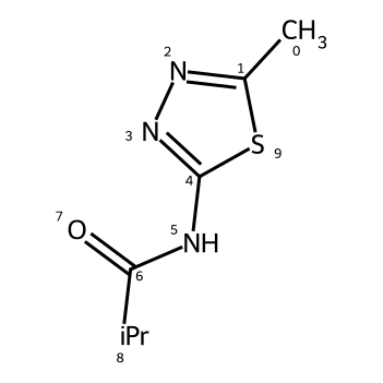 Cc1nnc(NC(=O)C(C)C)s1